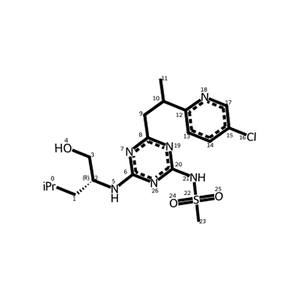 CC(C)C[C@H](CO)Nc1nc(CC(C)c2ccc(Cl)cn2)nc(NS(C)(=O)=O)n1